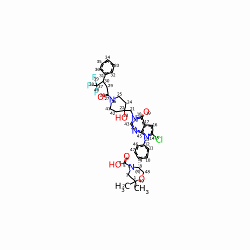 CC1(C)CN(C(=O)O)[C@H](c2ccc(-n3c(Cl)cc4c(=O)n(CC5(O)CCN(C(=O)CC(c6ccccc6)C(F)(F)F)CC5)cnc43)cc2)CO1